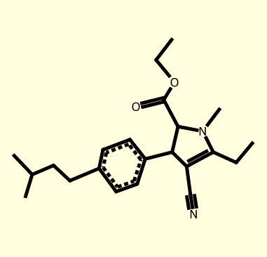 CCOC(=O)C1C(c2ccc(CCC(C)C)cc2)C(C#N)=C(CC)N1C